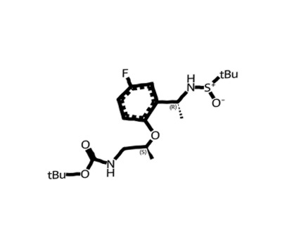 C[C@@H](CNC(=O)OC(C)(C)C)Oc1ccc(F)cc1[C@@H](C)N[S+]([O-])C(C)(C)C